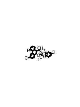 CC(NC(=O)C(C)(C)Oc1ccc(Cl)cn1)C(Cc1ccc(Cl)cc1)c1cccc(F)c1